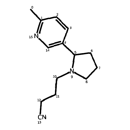 Cc1ccc(C2CCCN2CCCC#N)cn1